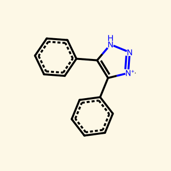 c1ccc(C2=C(c3ccccc3)NN=[N+]2)cc1